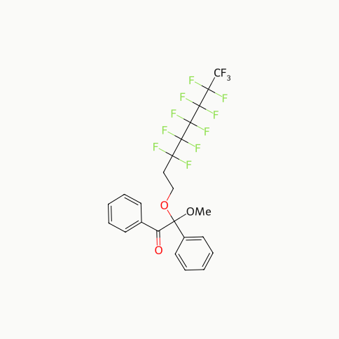 COC(OCCC(F)(F)C(F)(F)C(F)(F)C(F)(F)C(F)(F)C(F)(F)F)(C(=O)c1ccccc1)c1ccccc1